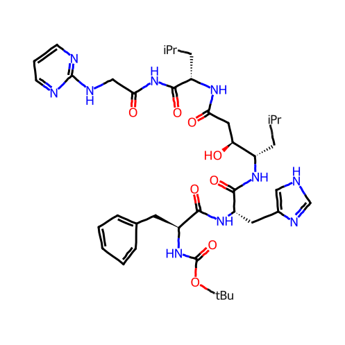 CC(C)C[C@H](NC(=O)C[C@H](O)[C@H](CC(C)C)NC(=O)[C@H](Cc1c[nH]cn1)NC(=O)[C@H](Cc1ccccc1)NC(=O)OC(C)(C)C)C(=O)NC(=O)CNc1ncccn1